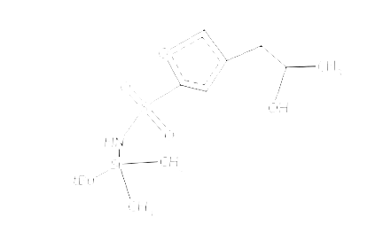 CC(O)Cc1coc(S(=O)(=O)N[Si](C)(C)C(C)(C)C)c1